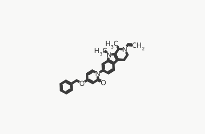 C=CN1CCc2c(n(C)c3cc(-n4ccc(OCc5ccccc5)cc4=O)ccc23)C1C